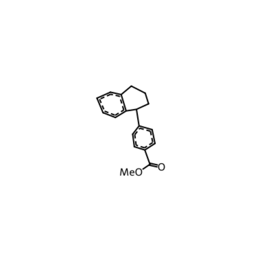 COC(=O)c1ccc(C2CCCc3ccccc32)cc1